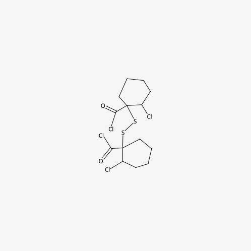 O=C(Cl)C1(SSC2(C(=O)Cl)CCCCC2Cl)CCCCC1Cl